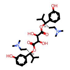 CC(C)[C@](CCN(C)C)(OC(=O)C(O)C(O)C(=O)O[C@](CCN(C)C)(c1cccc(O)c1)C(C)C)c1cccc(O)c1